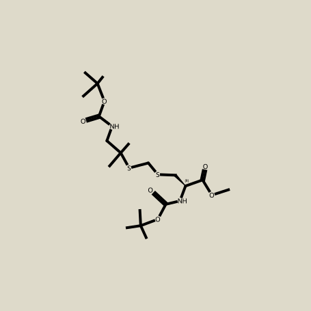 COC(=O)[C@H](CSCSC(C)(C)CNC(=O)OC(C)(C)C)NC(=O)OC(C)(C)C